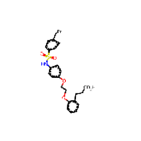 CC(C)c1ccc(S(=O)(=O)Nc2ccc(OCCOc3ccccc3CCC(=O)O)cc2)cc1